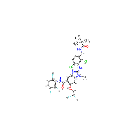 Cn1c(Nc2c(Cl)ccc(CNC(=O)C(C)(C)C)c2Cl)nc2cc(C(=O)Nc3c(F)ccc(F)c3F)c(OCC(F)F)cc21